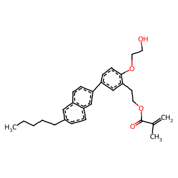 C=C(C)C(=O)OCCc1cc(-c2ccc3cc(CCCCC)ccc3c2)ccc1OCCO